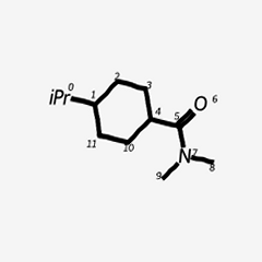 CC(C)C1CCC(C(=O)N(C)C)CC1